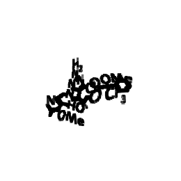 COc1c(C)cnc(Cn2cc([C@](C)(O)COC(=O)[C@](OC)(c3ccccc3)C(F)(F)F)c3c(Cl)nc(N)nc32)c1C